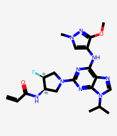 C=CC(=O)N[C@@H]1CN(c2nc(Nc3cn(C)nc3OC)c3ncn(C(C)C)c3n2)C[C@@H]1F